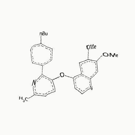 CCCCc1ccc(-c2nc(C)ccc2Oc2ccnc3cc(OC)c(OC)cc23)cc1